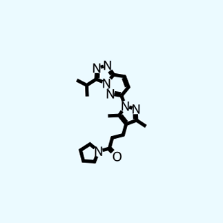 Cc1nn(-c2ccc3nnc(C(C)C)n3n2)c(C)c1CCC(=O)N1CCCC1